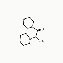 CC(C(=O)N1CCOCC1)N1CCOCC1